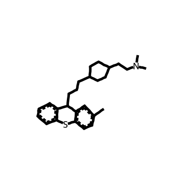 Cc1ccc2c(c1)C(CCCC1CCC(CCN(C)C)CC1)c1ccccc1S2